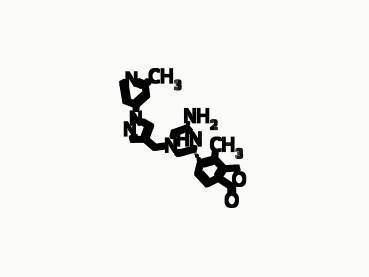 Cc1cc(-n2cc(CN3C[C@@H](c4ccc5c(c4C)COC5=O)N[C@@H](N)C3)cn2)ccn1